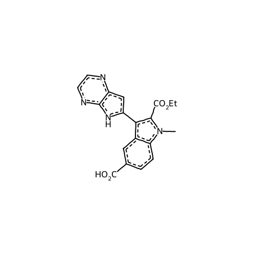 CCOC(=O)c1c(-c2cc3nccnc3[nH]2)c2cc(C(=O)O)ccc2n1C